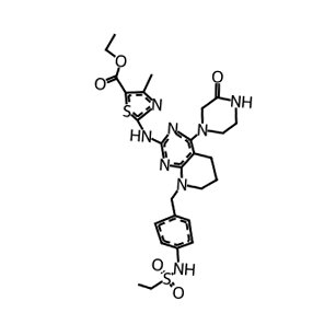 CCOC(=O)c1sc(Nc2nc(N3CCNC(=O)C3)c3c(n2)N(Cc2ccc(NS(=O)(=O)CC)cc2)CCC3)nc1C